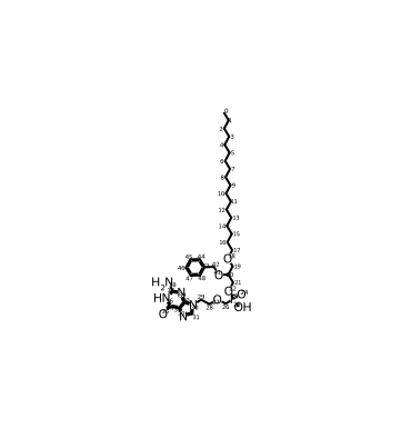 CCCCCCCCCCCCCCCCCCOCC(COP(=O)(O)COCCn1cnc2c(=O)[nH]c(N)nc21)OCc1ccccc1